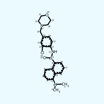 CN(C)c1cccc2c([S+]([O-])Nc3ccc(CN4CCOCC4)cc3Cl)cccc12